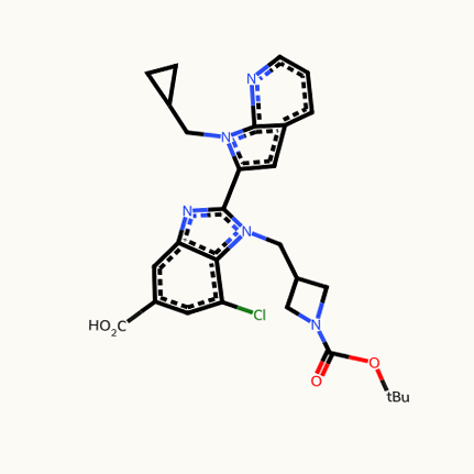 CC(C)(C)OC(=O)N1CC(Cn2c(-c3cc4cccnc4n3CC3CC3)nc3cc(C(=O)O)cc(Cl)c32)C1